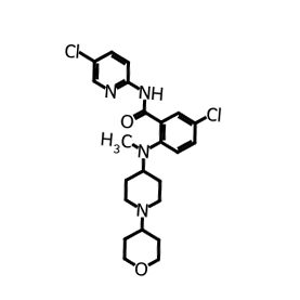 CN(c1ccc(Cl)cc1C(=O)Nc1ccc(Cl)cn1)C1CCN(C2CCOCC2)CC1